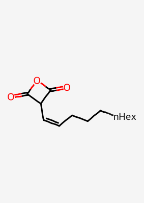 CCCCCCCCC/C=C\C1C(=O)OC1=O